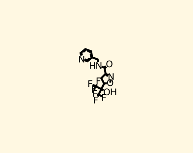 O=C(NCc1cccnc1)C1=NOC(C(O)(C(F)(F)F)C(F)(F)F)C1